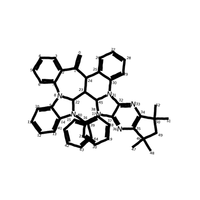 C=C1c2ccccc2N2c3ccccc3N(c3ccccc3)C2C2C1c1ccccc1N1c3nc4c(nc3N(c3ccccc3)C21)C(C)(C)CC4(C)C